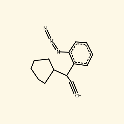 C#CC(c1ccccc1N=[N+]=[N-])C1CCCCC1